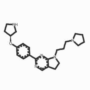 c1cc(-c2ncc3c(n2)N(CCCN2CCCC2)CC3)ccc1O[C@H]1CCNC1